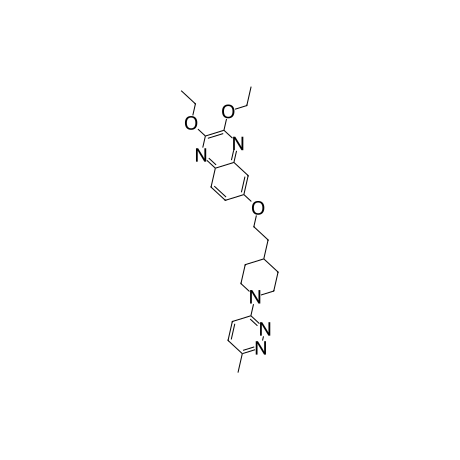 CCOc1nc2ccc(OCCC3CCN(c4ccc(C)nn4)CC3)cc2nc1OCC